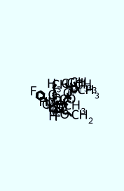 C=CCOC(=O)N[C@@]1(C(=O)OC(C)OC(=O)O[C@H]2C[C@@H](C)C(C)(C)C2(C)CC)[C@H](OCc2ccc(F)cc2)C[C@@H]2[C@H]1[C@@]2(F)C(=O)OCC=C